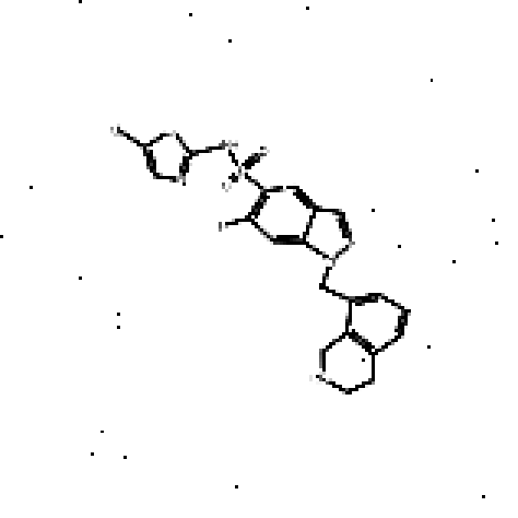 O=S(=O)(Nc1ncc(Cl)s1)c1cc2cnn(Cc3cccc4c3CNCC4)c2cc1F